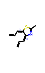 C=C/C=c1/nc(C)s/c1=C/C=C